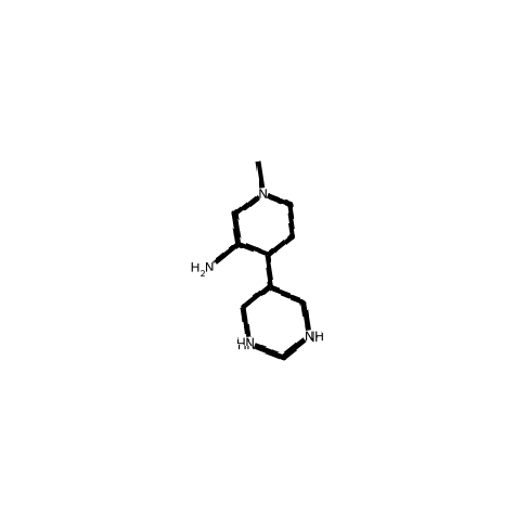 CN1CCC(C2CNCNC2)C(N)C1